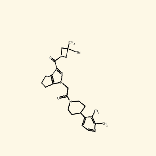 Cc1cccc(C2CCN(C(=O)Cn3nc(C(=O)N4CC(C)(O)C4)c4c3CCC4)CC2)c1C